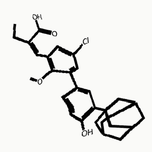 CCC(=Cc1cc(Cl)cc(-c2ccc(O)c(C34CC5CC(CC(C5)C3)C4)c2)c1OC)C(=O)O